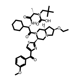 CCO[C@@H]1C[C@@H]2CN(C(=O)[C@@H](NC(=O)[C@H](C)N(CC(C)(C)C)C(=O)O)C3CCCCC3)[C@H](c3nc(C(=O)c4cccc(OC)c4)cs3)CN2C1